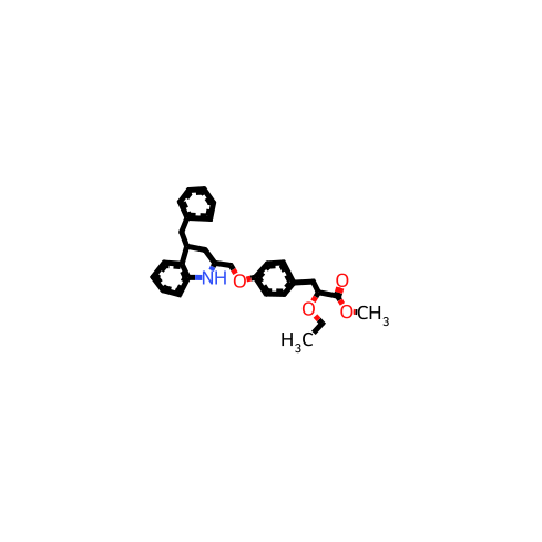 CCOC(Cc1ccc(OCC2CC(Cc3ccccc3)c3ccccc3N2)cc1)C(=O)OC